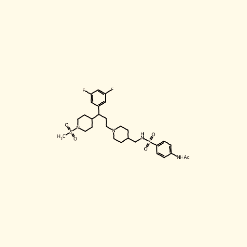 CC(=O)Nc1ccc(S(=O)(=O)NCC2CCN(CCC(c3cc(F)cc(F)c3)C3CCN(S(C)(=O)=O)CC3)CC2)cc1